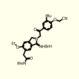 Br.CCOc1cc2c(cc1CC(=O)NC)C(=N)N(CC(=O)c1ccc(OCC#N)c(C(C)(C)C)c1)C2